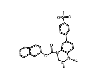 CC(=O)N1c2ccc(-c3ccc(S(C)(=O)=O)cc3)cc2N(C(=O)Oc2ccc3ccccc3c2)C[C@@H]1C